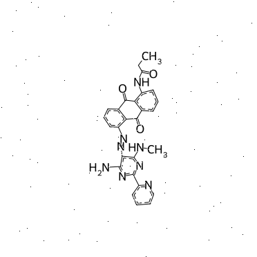 CCC(=O)Nc1cccc2c1C(=O)c1cccc(/N=N/c3c(N)nc(-c4ccccn4)nc3NC)c1C2=O